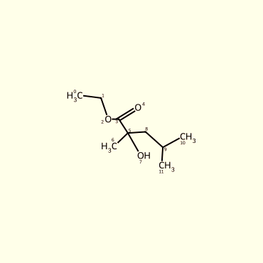 CCOC(=O)C(C)(O)CC(C)C